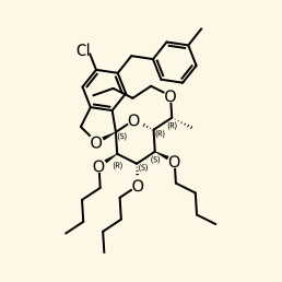 CCCCO[C@H]1[C@H](OCCCC)[C@@H](OCCCC)[C@@]2(OCc3cc(Cl)c(Cc4cccc(C)c4)cc32)O[C@@H]1[C@@H](C)OCCCC